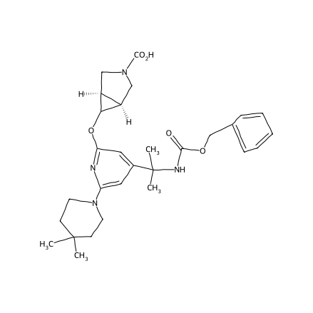 CC1(C)CCN(c2cc(C(C)(C)NC(=O)OCc3ccccc3)cc(OC3[C@H]4CN(C(=O)O)C[C@@H]34)n2)CC1